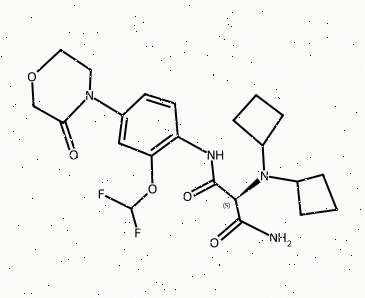 NC(=O)[C@@H](C(=O)Nc1ccc(N2CCOCC2=O)cc1OC(F)F)N(C1CCC1)C1CCC1